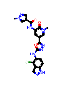 Cn1cc(C(=O)Nc2cc(-c3nnc(Nc4ccc5[nH]ncc5c4Cl)o3)cn(C)c2=O)cn1